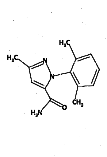 Cc1cc(C(N)=O)n(-c2c(C)cccc2C)n1